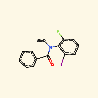 CON(C(=O)c1ccccc1)c1c(F)cccc1I